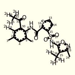 [2H]c1c(C)cc(C)c(NC(=O)c2sccc2S(=O)(=O)Nc2onc(C)c2C([2H])([2H])[2H])c1C(=O)C([2H])([2H])[2H]